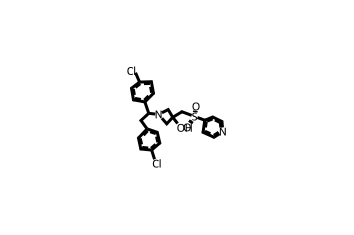 O=S(=O)(CC1(O)CN(C(Cc2ccc(Cl)cc2)c2ccc(Cl)cc2)C1)c1ccncc1